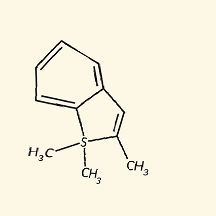 CC1=Cc2ccccc2S1(C)C